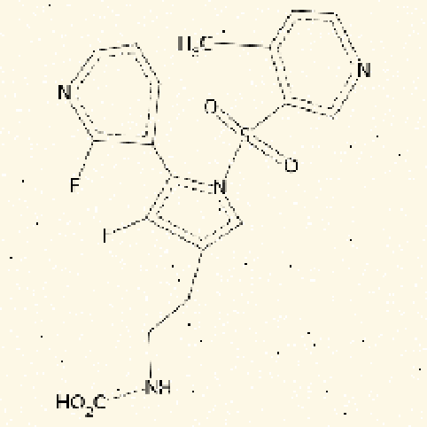 Cc1ccncc1S(=O)(=O)n1cc(CCNC(=O)O)c(F)c1-c1cccnc1F